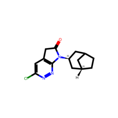 O=C1Cc2cc(Cl)nnc2N1[C@H]1CC2CC[C@@H](C2)C1